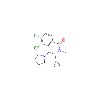 CN(C(=O)c1ccc(F)c(Cl)c1)C(CN1CCCC1)C1CC1